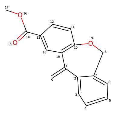 C=C1c2ccccc2COc2ccc(C(=O)OC)cc21